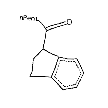 CCCCCC(=O)C1CCc2ccccc21